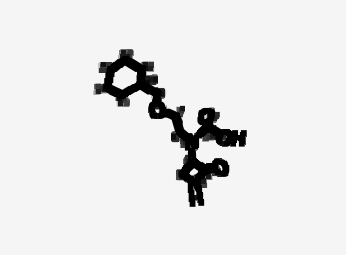 O=C1NCC1N(CCOCC1CCCCC1)C(=O)O